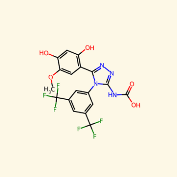 COc1cc(-c2nnc(NC(=O)O)n2-c2cc(C(F)(F)F)cc(C(F)(F)F)c2)c(O)cc1O